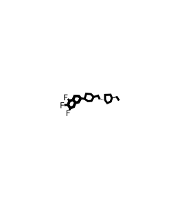 CC[C@H]1CC[C@H](CCC2CCC(c3ccc4c(F)c(F)c(F)cc4c3)CC2)CC1